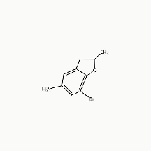 CC1Cc2cc(N)cc(Br)c2O1